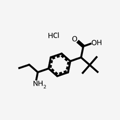 CCC(N)c1ccc(C(C(=O)O)C(C)(C)C)cc1.Cl